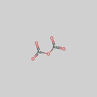 O=[As](=O)O[As](=O)=O